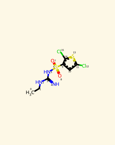 CCNC(=N)NS(=O)(=O)c1cc(Cl)sc1Cl